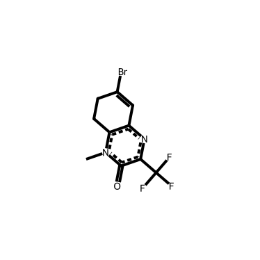 Cn1c2c(nc(C(F)(F)F)c1=O)C=C(Br)CC2